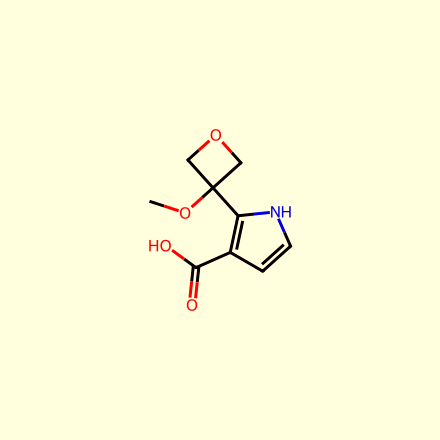 COC1(c2[nH]ccc2C(=O)O)COC1